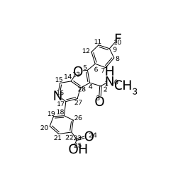 CNC(=O)c1c(-c2ccc(F)cc2)oc2cnc(-c3cccc(C(=O)O)c3)cc12